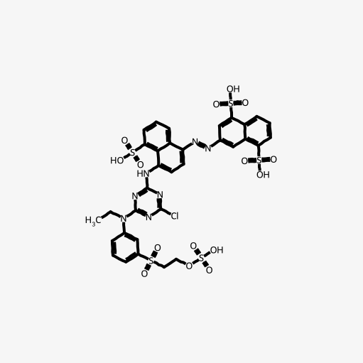 CCN(c1cccc(S(=O)(=O)CCOS(=O)(=O)O)c1)c1nc(Cl)nc(Nc2ccc(N=Nc3cc(S(=O)(=O)O)c4cccc(S(=O)(=O)O)c4c3)c3cccc(S(=O)(=O)O)c23)n1